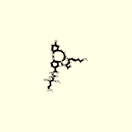 C=CC[C@@H](O)[C@@H](C)S(=O)(=O)NC(=O)c1ccc2c(c1)N(C[C@@H]1CC[C@H]1[C@@H](O)/C=C/CCC)CCCCc1cc(Cl)ccc1CO2